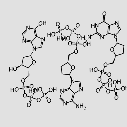 Nc1nc2c(ncn2[C@H]2CC[C@@H](COP(=O)(O)OP(=O)(O)OP(=O)(O)O)O2)c(=O)[nH]1.Nc1ncnc2c1ncn2[C@H]1CC[C@@H](COP(=O)(O)OP(=O)(O)OP(=O)(O)O)O1.O=P(O)(O)OP(=O)(O)OP(=O)(O)OC[C@H]1O[C@@H](n2cnc3c(O)ncnc32)C[C@@H]1O